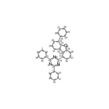 c1ccc(-c2nc(-c3ccccc3)nc(-c3cccc4oc5c(-c6ccccc6)cccc5c34)n2)cc1